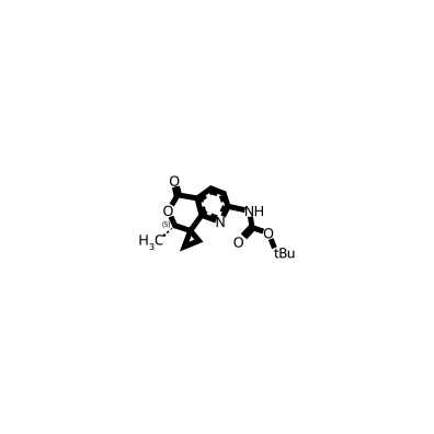 C[C@@H]1OC(=O)c2ccc(NC(=O)OC(C)(C)C)nc2C12CC2